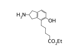 CCOC(=O)CCCCc1c(O)ccc2c1CC(N)C2